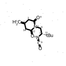 C=C1CC(=O)N(C[C@@H](N=C=O)C(C)(C)C)C(=O)C1